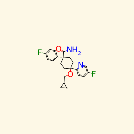 NC(=O)[C@]1(c2ccc(F)cc2)CC[C@@](OCC2CC2)(c2ccc(F)cn2)CC1